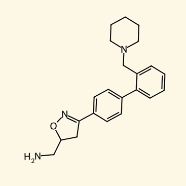 NCC1CC(c2ccc(-c3ccccc3CN3CCCCC3)cc2)=NO1